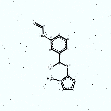 CC(Sc1nccn1C)c1cccc(NC=O)c1